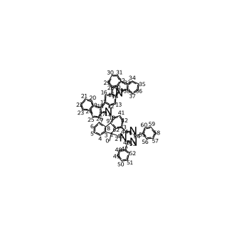 CC1(C)c2ccccc2-c2c(-n3c4cc5c(cc4c4c6ccccc6ccc43)c3cccc4c6ccccc6n5c43)ccc(-c3nc(-c4ccccc4)nc(-c4ccccc4)n3)c21